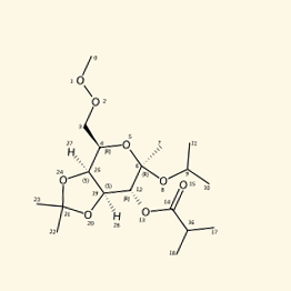 COOC[C@H]1O[C@@](C)(OC(C)C)[C@H](OC(=O)C(C)C)[C@H]2OC(C)(C)O[C@H]21